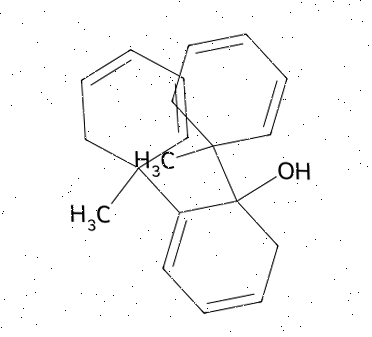 CC1(C2=CC=CCC2(O)C2(C)C=CC=CC2)C=CC=CC1